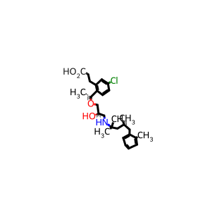 Cc1ccccc1CC(C)CC(C)(C)NC[C@@H](O)CO[C@H](C)c1ccc(Cl)cc1CCC(=O)O